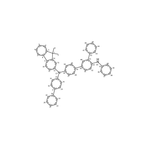 CC1(C)c2ccccc2-c2ccc(N(c3ccc(-c4ccccc4)cc3)c3ccc(-c4ccc(Nc5ccccc5)c(-c5ccccc5)c4)cc3)cc21